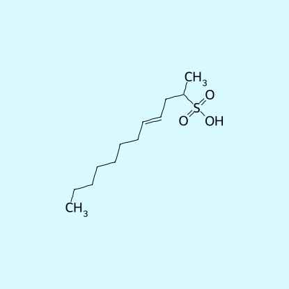 CCCCCCCC=CCC(C)S(=O)(=O)O